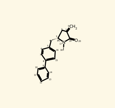 C=C1C[C@@H](Cc2ccc(-c3ccccc3)cc2)N(I)C1=O